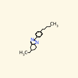 CCCCCc1ccc(-c2ncc3c(n2)CCC(CC)C3)cc1